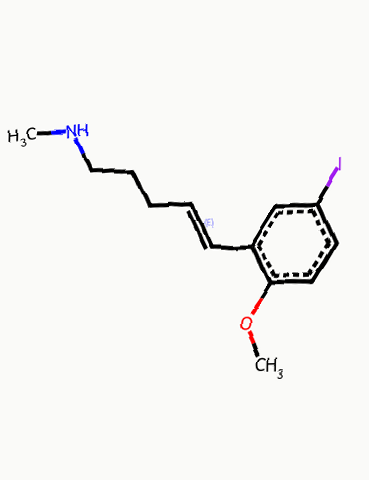 CNCCC/C=C/c1cc(I)ccc1OC